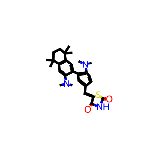 CN(C)c1ccc(/C=C2\SC(=O)NC2=O)cc1-c1cc2c(cc1N(C)C)C(C)(C)CCC2(C)C